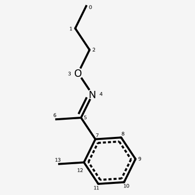 CCCO/N=C(\C)c1ccccc1C